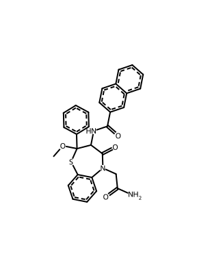 COC1(c2ccccc2)Sc2ccccc2N(CC(N)=O)C(=O)C1NC(=O)c1ccc2ccccc2c1